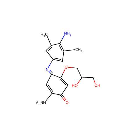 CC(=O)NC1=CC(=Nc2cc(C)c(N)c(C)c2)C(OCC(O)CO)=CC1=O